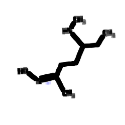 CCC(CC/C(C)=N\O)NC